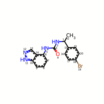 CC(NC(=O)Nc1cccc2[nH]ncc12)c1ccc(Br)cc1